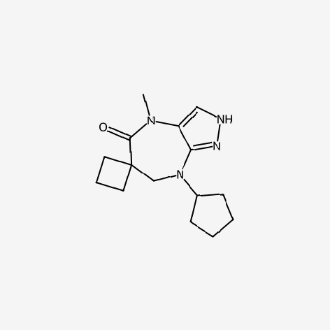 CN1C(=O)C2(CCC2)CN(C2CCCC2)c2n[nH]cc21